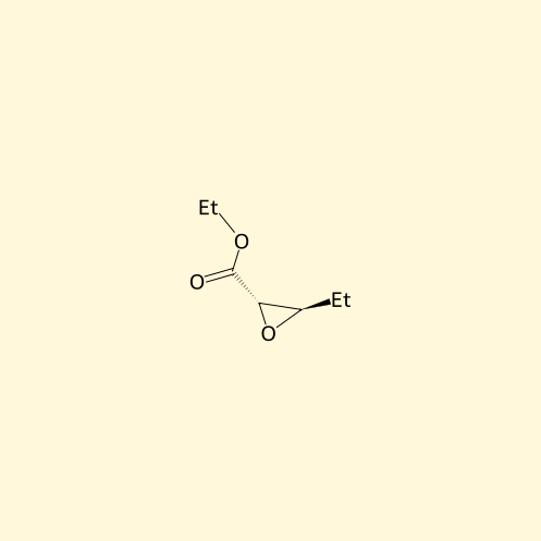 CCOC(=O)[C@H]1O[C@@H]1CC